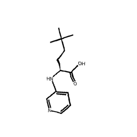 CC(C)(C)CC[C@H](Nc1cccnc1)C(=O)O